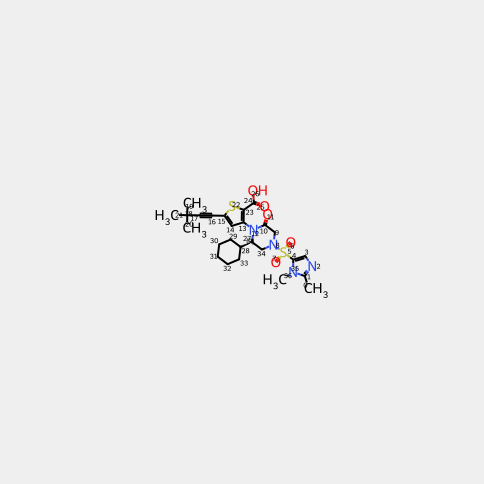 Cc1ncc(S(=O)(=O)N2CC(=O)N(c3cc(C#CC(C)(C)C)sc3C(=O)O)[C@H](C3CCCCC3)C2)n1C